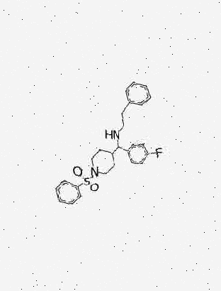 O=S(=O)(c1ccccc1)N1CCC(C(NCCc2ccccc2)c2ccc(F)cc2)CC1